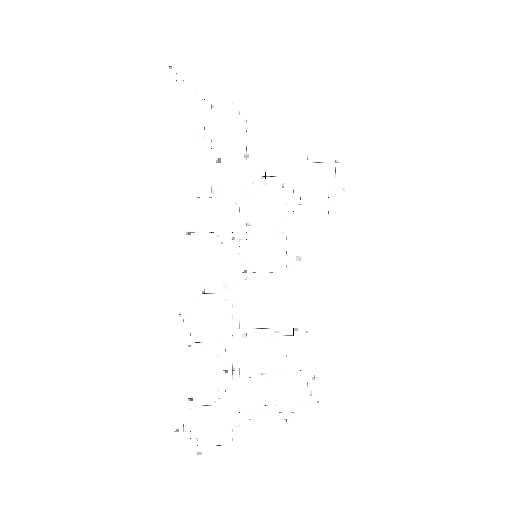 N#Cc1ccc2c(c1)c1ccccc1n2C1=C(c2ccc(-c3cccc(-n4c5ccccc5c5ccccc54)c3C#N)cc2)C=CCC1